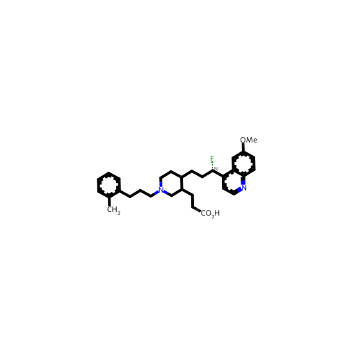 COc1ccc2nccc([C@@H](F)CCC3CCN(CCCc4ccccc4C)CC3CCC(=O)O)c2c1